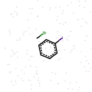 CBr.Ic1ccccc1